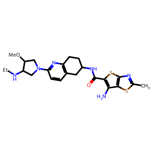 CCNC1CN(c2ccc3c(n2)CCC(NC(=O)c2sc4nc(C)sc4c2N)C3)CC1OC